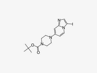 CC(C)(C)OC(=O)N1CCN(c2ccn3c(I)cnc3c2)CC1